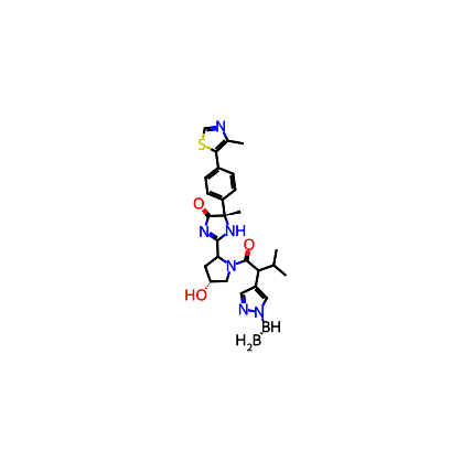 BBn1cc(C(C(=O)N2C[C@H](O)CC2C2=NC(=O)[C@](C)(c3ccc(-c4scnc4C)cc3)N2)C(C)C)cn1